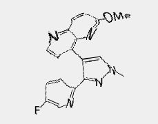 COc1ccc2nccc(-c3cn(C)nc3-c3ccc(F)cn3)c2n1